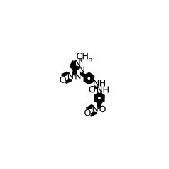 CCn1ccc2c(N3CCOCC3)nc(-c3ccc(NC(=O)Nc4ccc(C(=O)N5CCOCC5)cc4)cc3)nc21